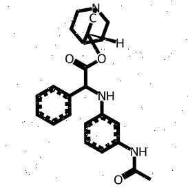 CC(=O)Nc1cccc(NC(C(=O)O[C@H]2CN3CCC2CC3)c2ccccc2)c1